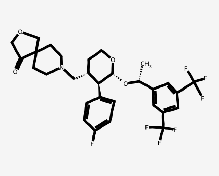 C[C@@H](O[C@H]1OCC[C@@H](CN2CCC3(CC2)COCC3=O)[C@@H]1c1ccc(F)cc1)c1cc(C(F)(F)F)cc(C(F)(F)F)c1